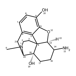 CN1CCC23c4c5ccc(O)c4O[C@H]2C(N)CC[C@@]3(O)C1C5